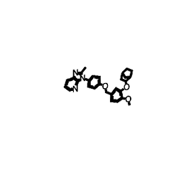 COc1ccc(COc2ccc(-n3c(C)nc4cccnc43)cc2)cc1OC1CC2CCC1C2